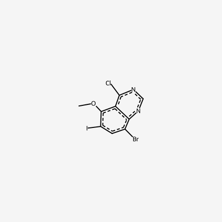 COc1c(I)cc(Br)c2ncnc(Cl)c12